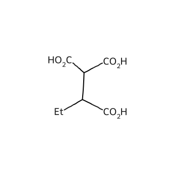 [CH2]CC(C(=O)O)C(C(=O)O)C(=O)O